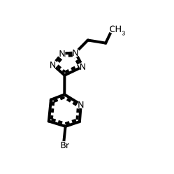 CCCn1nnc(-c2ccc(Br)cn2)n1